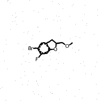 COCC1Cc2cc(Br)c(F)cc2O1